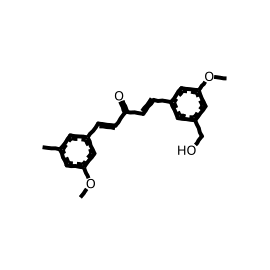 COc1cc(C)cc(/C=C/C(=O)/C=C/c2cc(CO)cc(OC)c2)c1